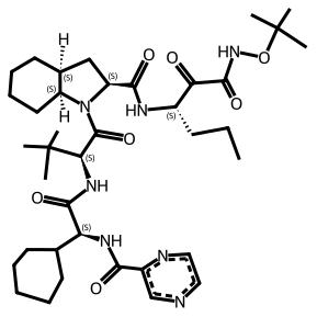 CCC[C@H](NC(=O)[C@@H]1C[C@@H]2CCCC[C@@H]2N1C(=O)[C@@H](NC(=O)[C@@H](NC(=O)c1cnccn1)C1CCCCC1)C(C)(C)C)C(=O)C(=O)NOC(C)(C)C